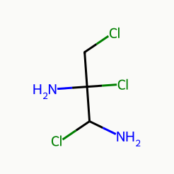 NC(Cl)C(N)(Cl)CCl